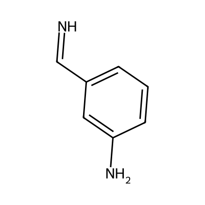 N=Cc1cccc(N)c1